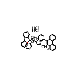 CC1=C[CH]([Zr]([CH3])(=[SiH2])([c]2ccccc2)[CH]2c3ccccc3-c3ccccc32)c2cccc(-c3cc4ccccc4c4ccccc34)c21.Cl.Cl